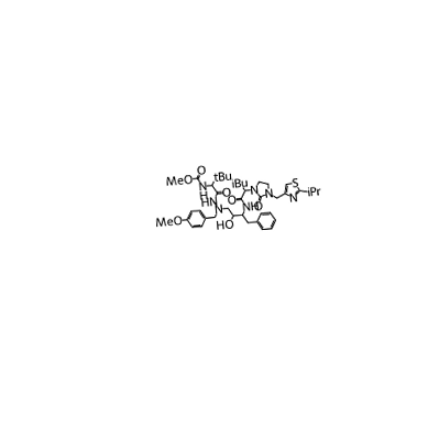 CCC(C)C(C(=O)NC(Cc1ccccc1)C(O)CN(Cc1ccc(OC)cc1)NC(=O)C(NC(=O)OC)C(C)(C)C)N1CCN(Cc2csc(C(C)C)n2)C1=O